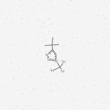 [2H]C([2H])([2H])n1cc(C(C)(C)C)nn1